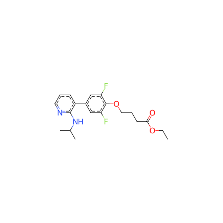 CCOC(=O)CCCOc1c(F)cc(-c2cccnc2NC(C)C)cc1F